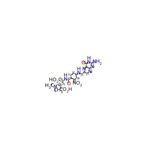 CN(C)C=C(CC(NC(=O)c1ccc(NCc2cnc3nc(N)[nH]c(=O)c3n2)cc1[N+](=O)[O-])C(=O)O)C(=O)O